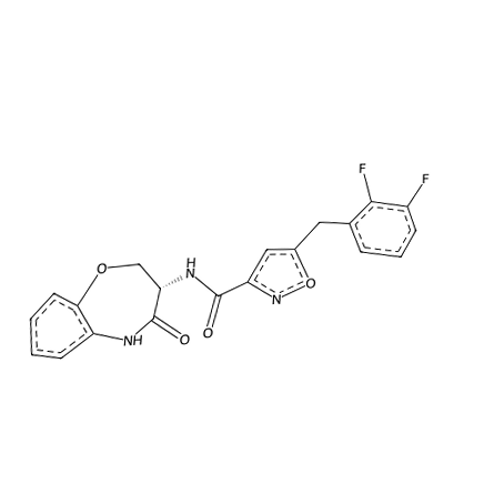 O=C(N[C@H]1COc2ccccc2NC1=O)c1cc(Cc2cccc(F)c2F)on1